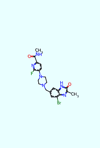 CNC(=O)c1ccc(N2CCN(Cc3cc(Br)c4nc(C)c(=O)[nH]c4c3)CC2)c(F)n1